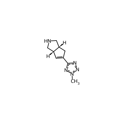 Cn1nnc(C2=C[C@@H]3CNC[C@@H]3C2)n1